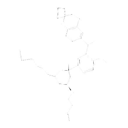 CCCCOCC1C[C@H](OCCCC)CC(O)(c2ccc(OC)c(C(O)c3ccc4c(c3)CCC3(CCC3)O4)c2)O1